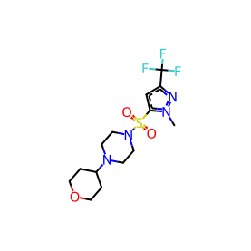 Cn1nc(C(F)(F)F)cc1S(=O)(=O)N1CCN(C2CCOCC2)CC1